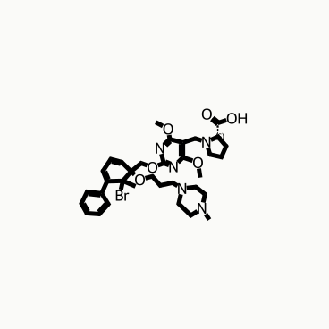 COc1nc(OCC2(OCCCN3CCN(C)CC3)C=CC=C(c3ccccc3)C2(C)Br)nc(OC)c1CN1CCC[C@H]1C(=O)O